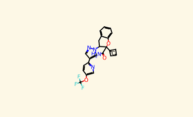 NC(=O)C1(C23CC(C2)C3)Oc2ccccc2CC1n1cc(-c2ccc(OC(F)(F)F)cn2)cn1